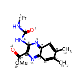 CCCNC(=O)Nc1nc2cc(C)c(C)cc2nc1C(=O)OC